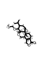 CSCOC1C(C(C)C)CC2OC23C2(C)CCC4=C(COC4=O)C2COC13C